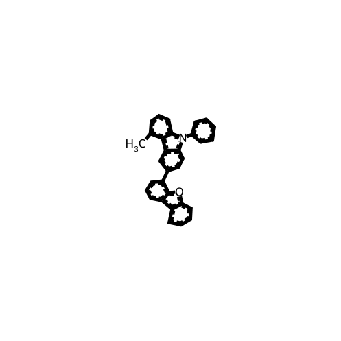 Cc1cccc2c1c1cc(-c3cccc4c3oc3ccccc34)ccc1n2-c1ccccc1